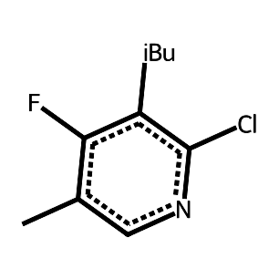 CCC(C)c1c(Cl)ncc(C)c1F